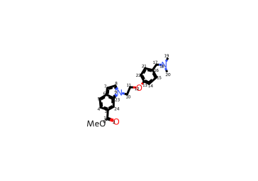 COC(=O)c1ccc2ccn(CCOc3ccc(CN(C)C)cc3)c2c1